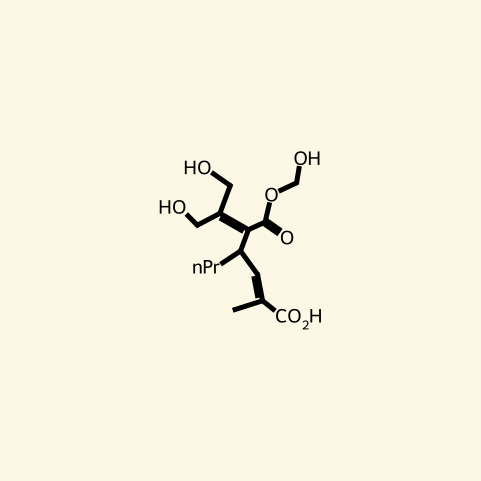 CCCC(C=C(C)C(=O)O)C(C(=O)OCO)=C(CO)CO